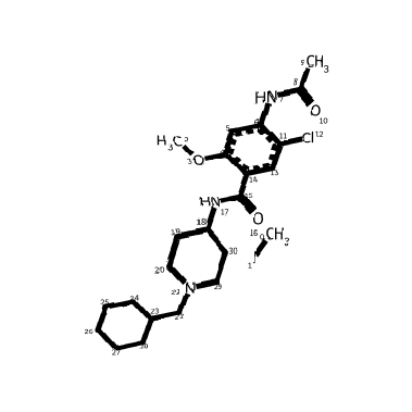 CI.COc1cc(NC(C)=O)c(Cl)cc1C(=O)NC1CCN(CC2CCCCC2)CC1